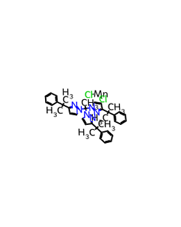 CC(C)(c1ccccc1)c1ccn(C(C)(n2ccc(C(C)(C)c3ccccc3)n2)n2ccc(C(C)(C)c3ccccc3)n2)n1.[Cl][Mn][Cl]